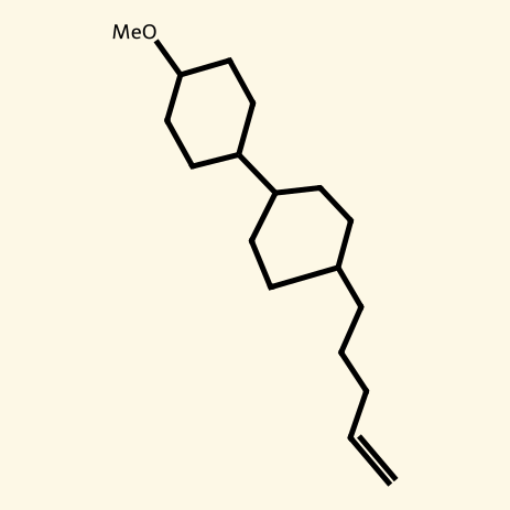 C=CCCCC1CCC(C2CCC(OC)CC2)CC1